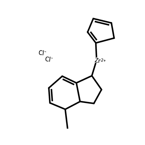 CC1C=CC=C2[CH]([Zr+2][C]3=CC=CC3)CCC21.[Cl-].[Cl-]